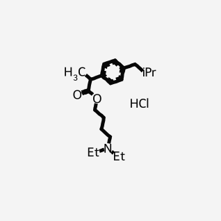 CCN(CC)CCCCOC(=O)C(C)c1ccc(CC(C)C)cc1.Cl